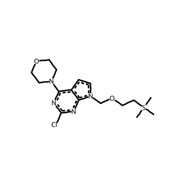 CS(C)(C)CCOCn1ccc2c(N3CCOCC3)nc(Cl)nc21